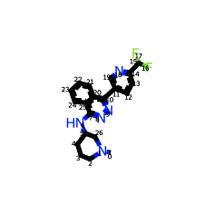 CN1CCCC(Nc2nnc(-c3ccc(C(F)F)nc3)c3ccccc23)C1